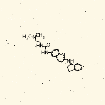 CN(C)CCNC(=O)Nc1ccc2nc(N[C@@H]3CCc4ccccc43)ccc2c1